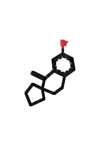 C=C1c2cc(Br)ccc2CCC12CCCC2